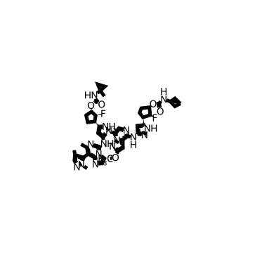 Cc1cnn(C)c1-c1c(C)nc(Nc2cc([C@@H]3CC[C@H](OC(=O)NC4(C)CC4)[C@@H]3F)[nH][n+]2-c2cnc(Nc3cc([C@@H]4CC[C@H](OC(=O)NC56CC(C5)C6)[C@@H]4F)[nH]n3)c3cc(OC(F)(F)F)nn23)n2ccnc12